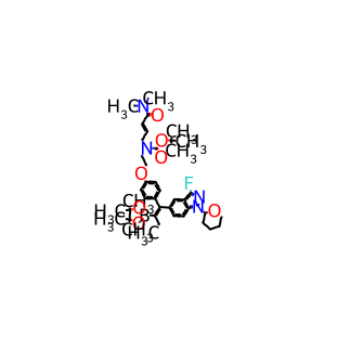 CC/C(B1OC(C)(C)C(C)(C)O1)=C(/c1ccc(OCCN(C/C=C/C(=O)N(C)C)C(=O)OC(C)(C)C)cc1)c1ccc2c(c1)c(F)nn2C1CCCCO1